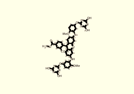 COc1ccc(Oc2nc(O)nc(O)n2)cc1/N=c1\ccc2c(-c3ccc(C(=O)ON)cc3C(=O)O)c3ccc(Nc4cc(Oc5nc(O)nc(O)n5)ccc4OC)cc3oc-2c1